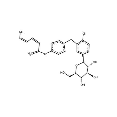 C=C(/C=C\C=C/N)Oc1ccc(Cc2cc([C@@H]3O[C@H](CO)[C@@H](O)[C@H](O)[C@H]3O)ccc2Cl)cc1